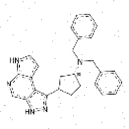 c1ccc(CN(Cc2ccccc2)[C@@H]2CCC(c3n[nH]c4cnc5[nH]ccc5c34)C2)cc1